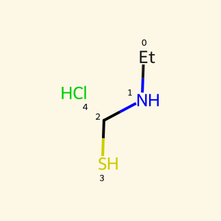 CCNCS.Cl